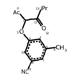 CC(=O)C(Oc1cc(C)cc(C#N)c1)C(=O)C(C)C